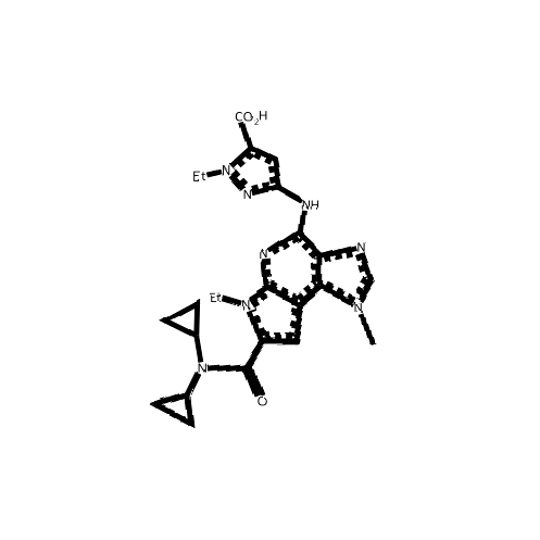 CCn1nc(Nc2nc3c(cc(C(=O)N(C4CC4)C4CC4)n3CC)c3c2ncn3C)cc1C(=O)O